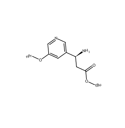 CCCOc1cncc([C@@H](N)CC(=O)OC(C)(C)C)c1